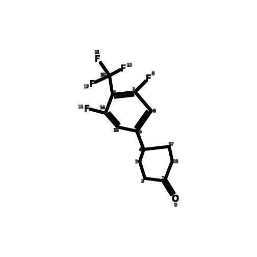 O=C1CCC(c2cc(F)c(C(F)(F)F)c(F)c2)CC1